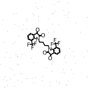 O=C1C(=O)N(CCCCN2C(=O)C(=O)c3cccc(C(F)(F)F)c32)c2c1cccc2C(F)(F)F